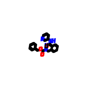 O=C(NCC1CCCCC1C(=O)Nc1cccnc1)OCc1ccccc1